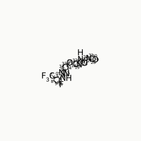 Cn1c(Nc2cc(C(F)(F)F)ccc2F)nc2cc(Oc3ccnc(NC(=O)CN4CCOCC4)c3)ccc21